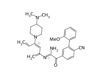 C=C/C(=C\C(=C)/N=C(\N)C(=O)c1ccc(C#N)c(-c2ccccc2OC)c1)N1CCC(N(C)C)CC1